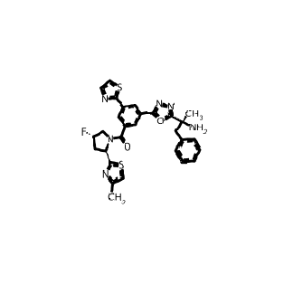 Cc1csc([C@H]2C[C@H](F)CN2C(=O)c2cc(-c3nnc([C@](C)(N)Cc4ccccc4)o3)cc(-c3nccs3)c2)n1